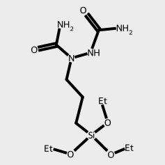 CCO[Si](CCCN(NC(N)=O)C(N)=O)(OCC)OCC